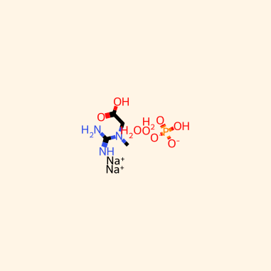 CN(CC(=O)O)C(=N)N.O.O.O=P([O-])([O-])O.[Na+].[Na+]